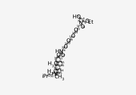 CCOC[C@@H]1C[C@@H](O)CN1C(=O)CCOCCOCCOCCOCCNC(=O)O[C@H]1CC[C@@]2(C)C(=CCC3C2CC[C@@]2(C)C3CC[C@@H]2[C@H](C)CCCC(C)C)C1